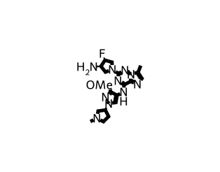 COc1nn([C@H]2CCN(C)C2)cc1Nc1nc(N2C[C@@H](N)[C@H](F)C2)nn2c(C)cnc12